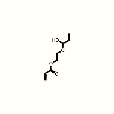 C=CC(=O)OCCOC(O)CC